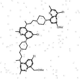 CCc1cc(COC)c2nc(C)cc(C(C)CCN3CCN(c4cc(CC)cc5c(C(C)CCN6CCN(c7cc(OC)cc8c(C(C)C)cc(C)nc78)CC6)cc(C)nc45)CC3)c2c1